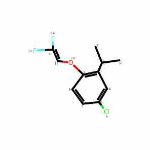 CC(C)c1cc(Cl)ccc1OC=C(F)F